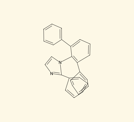 c1ccc(-c2cccc(-c3ccccc3)c2-n2ccnc2-c2ccccc2)cc1